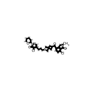 CN1Cc2c(C(=O)C3CC4(C3)CN(CCCc3cnn(C5CCCCO5)c(=O)c3Cl)C4)ccc(Cl)c2C1=O